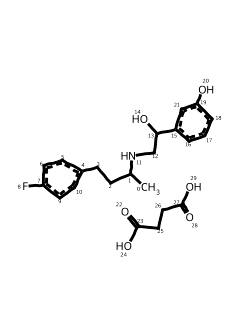 CC(CCc1ccc(F)cc1)NCC(O)c1cccc(O)c1.O=C(O)CCC(=O)O